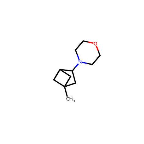 CC12CC(C1)C(N1CCOCC1)C2